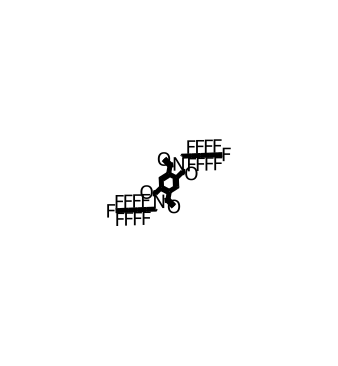 O=c1c2cc3c(=O)n(CC(F)(F)C(F)(F)C(F)(F)C(F)(F)F)c(=O)c3cc2c(=O)n1CC(F)(F)C(F)(F)C(F)(F)C(F)(F)F